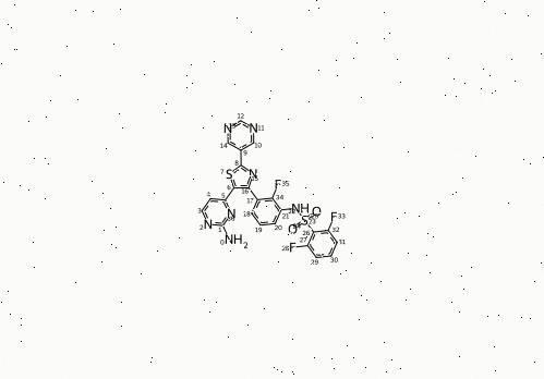 Nc1nccc(-c2sc(-c3cncnc3)nc2-c2cccc(NS(=O)(=O)c3c(F)cccc3F)c2F)n1